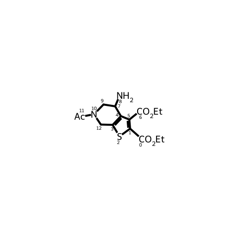 CCOC(=O)c1sc2c(c1C(=O)OCC)C(N)CN(C(C)=O)C2